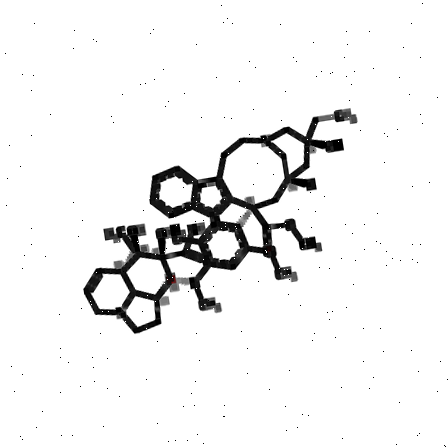 CC[C@]1(O)C[C@H]2CN(CCc3c([nH]c4ccccc34)[C@@](C(=O)OC)(c3cc(C)c(N(C)[C@@H]4[C@H]5CCN6CC=C[C@](CC)(C56)[C@@H](O)[C@]4(O)C(N)=O)cc3OC)C2)C1